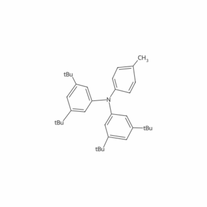 Cc1ccc(N(c2cc(C(C)(C)C)cc(C(C)(C)C)c2)c2cc(C(C)(C)C)cc(C(C)(C)C)c2)cc1